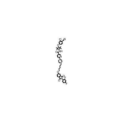 CC1(C)[C@H](NC(=O)c2ccc(N3CCN(CCCCCOc4ccc5c(c4)C(=O)N(c4ccc(F)cc4F)C5=O)CC3)nc2)C(C)(C)[C@H]1Oc1ccc(C#N)c(Cl)c1